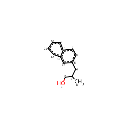 CC(CO)Cc1ccc2ccccc2c1